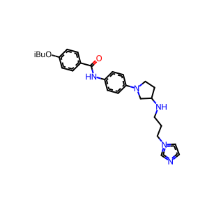 CC(C)COc1ccc(C(=O)Nc2ccc(N3CCC(NCCCn4ccnc4)C3)cc2)cc1